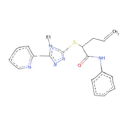 C=CCC(Sc1nnc(-c2ccccn2)n1CC)C(=O)Nc1ccccc1